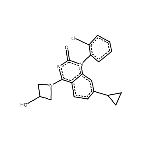 O=c1nc(N2CC(O)C2)c2ccc(C3CC3)cc2n1-c1ccccc1Cl